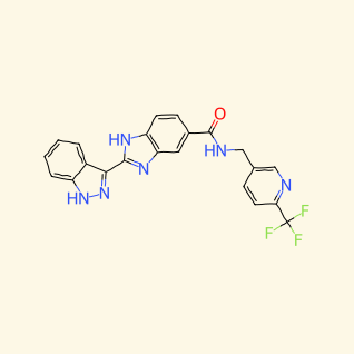 O=C(NCc1ccc(C(F)(F)F)nc1)c1ccc2[nH]c(-c3n[nH]c4ccccc34)nc2c1